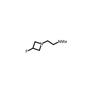 CNCCN1CC(F)C1